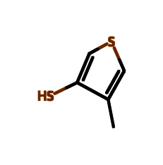 Cc1cscc1S